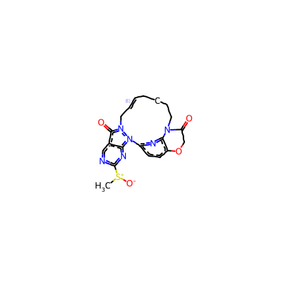 C[S+]([O-])c1ncc2c(=O)n3n(c2n1)-c1ccc2c(n1)N(CCCC/C=C/C3)C(=O)CO2